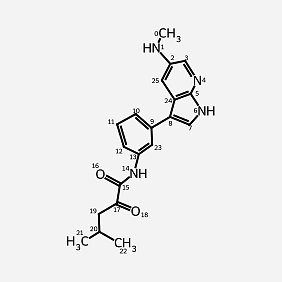 CNc1cnc2[nH]cc(-c3cccc(NC(=O)C(=O)CC(C)C)c3)c2c1